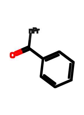 C[CH]CC(=O)c1ccccc1